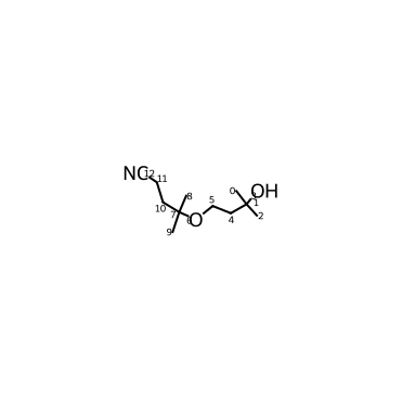 CC(C)(O)CCOC(C)(C)CCC#N